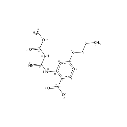 CCCSc1ccc([N+](=O)[O-])c(NC(=N)NC(=O)OC)c1